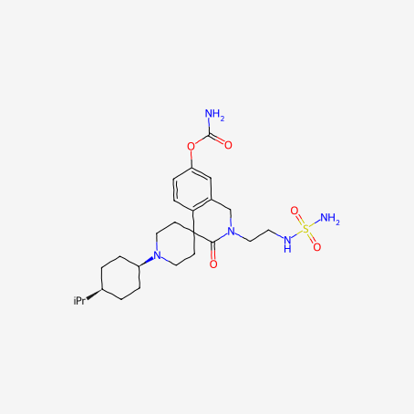 CC(C)[C@H]1CC[C@@H](N2CCC3(CC2)C(=O)N(CCNS(N)(=O)=O)Cc2cc(OC(N)=O)ccc23)CC1